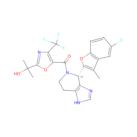 Cc1c([C@@H]2c3nc[nH]c3CCN2C(=O)c2oc(C(C)(C)O)nc2C(F)(F)F)oc2ccc(F)cc12